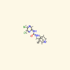 O=C(NC[C@@H]1CN2CCC1CC2)Nc1cnc(Br)c(Cl)n1